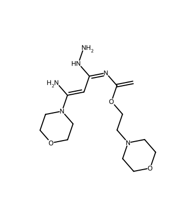 C=C(/N=C(\C=C(/N)N1CCOCC1)NN)OCCN1CCOCC1